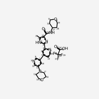 Cc1[nH]c(-c2cc(-c3cncc(N4CCOCC4)c3)ccn2)nc1C(=O)NC1CCOCC1.O=C(O)C(F)(F)F